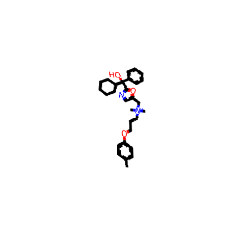 Cc1ccc(OCCC[N+](C)(C)Cc2cnc(C(O)(c3ccccc3)C3CCCCC3)o2)cc1